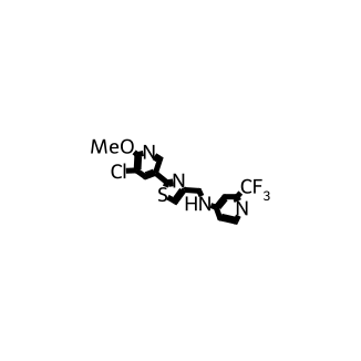 COc1ncc(-c2nc(CNc3ccnc(C(F)(F)F)c3)cs2)cc1Cl